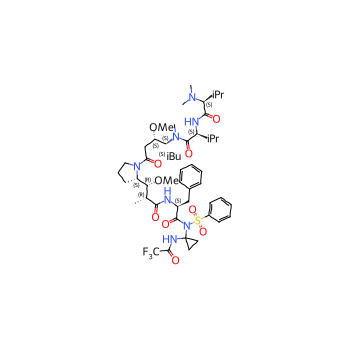 CC[C@H](C)[C@@H]([C@H](CC(=O)N1CCC[C@H]1[C@H](OC)[C@@H](C)C(=O)N[C@@H](Cc1ccccc1)C(=O)N(C1(NC(=O)C(F)(F)F)CC1)S(=O)(=O)c1ccccc1)OC)N(C)C(=O)[C@@H](NC(=O)[C@H](C(C)C)N(C)C)C(C)C